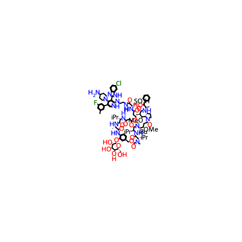 CC[C@H](C)[C@@H]([C@@H](CC(=O)N1CCC[C@H]1[C@H](OC)[C@@H](C)C(=O)N[C@H](C)[C@@H](O)c1ccccc1)OC)N(C)C(=O)[C@@H](NC(=O)[C@H](C(C)C)N(C)C(=O)OCc1ccc(NC(=O)[C@H](C)NC(=O)[C@@H](NC(=O)CCOCCC(=O)N[C@@H](CS(=O)(=O)O)C(=O)NCCNc2ncc(-c3cc(C)cc(F)c3)c(N3CCC(N)CC3)c2-c2nc3ccc(Cl)cc3[nH]2)C(C)C)c(O[C@@H]2O[C@H](CO)[C@@H](O)[C@H](O)[C@H]2O)c1)C(C)C